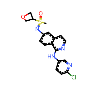 CS(=O)(=Nc1ccc2c(Nc3ccc(Cl)nc3)nccc2c1)C1COC1